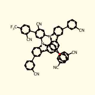 N#Cc1cccc(-c2ccc3c(c2)c2cc(-c4cccc(C#N)c4)ccc2n3-c2cc(C#N)c(-c3ccc(C(F)(F)F)cc3C#N)cc2-n2c3ccc(-c4cccc(C#N)c4)cc3c3cc(-c4cccc(C#N)c4)ccc32)c1